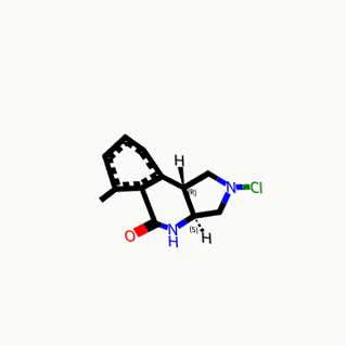 Cc1cccc2c1C(=O)N[C@@H]1CN(Cl)C[C@@H]21